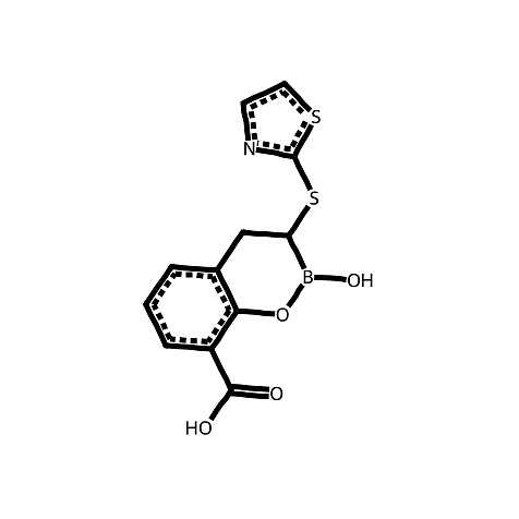 O=C(O)c1cccc2c1OB(O)C(Sc1nccs1)C2